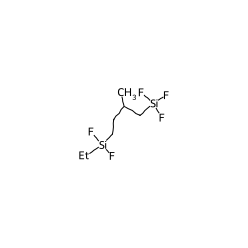 CC[Si](F)(F)CCC(C)C[Si](F)(F)F